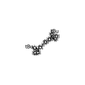 CC(C)(C)c1ccc(N(c2ccc(/C=C/c3ccc(-c4ccc(N(c5ccc(C(C)(C)C)cc5)c5cccc6ccccc56)cc4)cc3)cc2)c2cccc3ccccc23)cc1